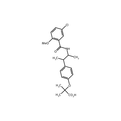 COc1ccc(Cl)cc1C(=O)NC(C)C(C)c1ccc(OC(C)(C)C(=O)O)cc1